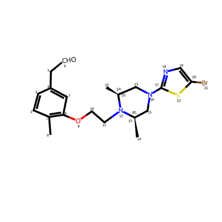 Cc1ccc(CC=O)cc1OCCN1[C@H](C)CN(c2ncc(Br)s2)C[C@@H]1C